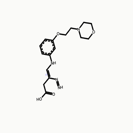 N=N/C(=C\Nc1cccc(OCCN2CCOCC2)c1)CC(=O)O